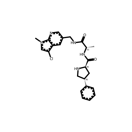 C[C@H](NC(=O)[C@H]1C[C@H](c2ccccc2)CN1)C(=O)NCc1cnc2c(c1)c(Cl)cn2C